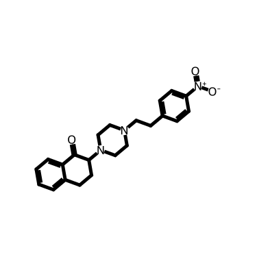 O=C1c2ccccc2CCC1N1CCN(CCc2ccc([N+](=O)[O-])cc2)CC1